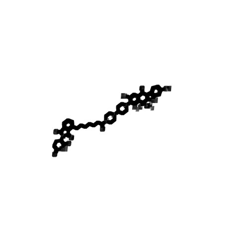 CCc1cc2c(cc1N1CCC(N3CCN(C(=O)CCCCCCc4cccc5c4C(=O)N(C4CCC(=O)NC4=O)C5=O)CC3)CC1)C(C)(C)c1[nH]c3cc(C#N)ccc3c1C2=O